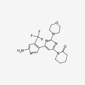 Nc1cc(C(F)(F)F)c(-c2cc(N3CCCCC3=O)nc(N3CCOCC3)n2)cn1